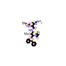 COC1=C(C(=O)OC(c2ccccc2)c2ccccc2)N2C(=O)C[C@@H]2SC1NC(=O)C(NC(=O)OC(C)(C)C)c1csc(N)n1